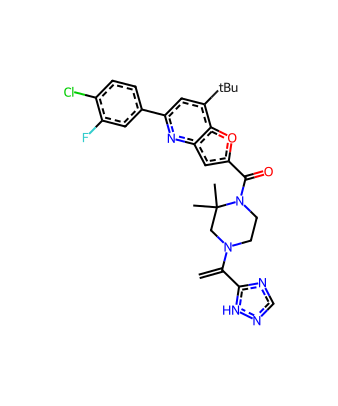 C=C(c1ncn[nH]1)N1CCN(C(=O)c2cc3nc(-c4ccc(Cl)c(F)c4)cc(C(C)(C)C)c3o2)C(C)(C)C1